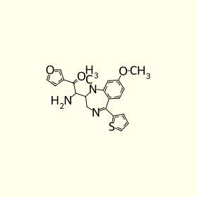 COc1ccc2c(c1)N(C)C(C(N)C(=O)c1ccoc1)CN=C2c1cccs1